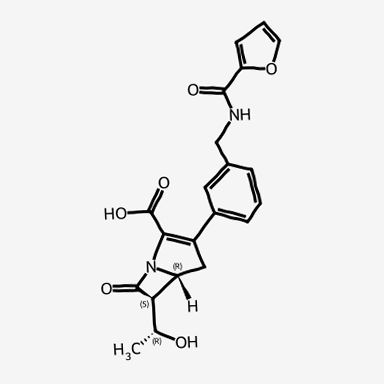 C[C@@H](O)[C@H]1C(=O)N2C(C(=O)O)=C(c3cccc(CNC(=O)c4ccco4)c3)C[C@H]12